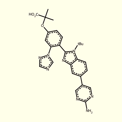 CC(C)(Oc1ccc(-c2nc3cc(-c4cnc(N)nc4)ccc3n2C(C)(C)C)c(-n2cncn2)c1)C(=O)O